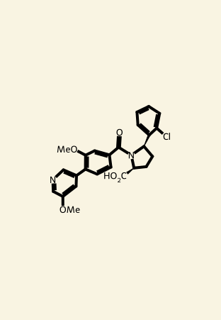 COc1cncc(-c2ccc(C(=O)N3[C@@H](c4ccccc4Cl)CC[C@H]3C(=O)O)cc2OC)c1